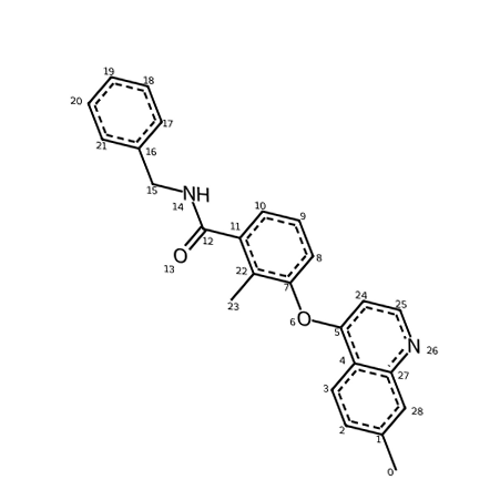 Cc1ccc2c(Oc3cccc(C(=O)NCc4ccccc4)c3C)ccnc2c1